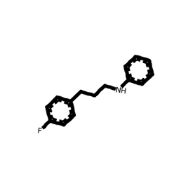 Fc1ccc(CCCNc2cc[c]cc2)cc1